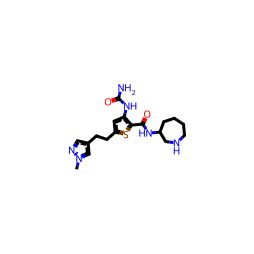 Cn1cc(CCc2cc(NC(N)=O)c(C(=O)NC3CCCCNC3)s2)cn1